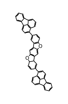 C1=CC2Oc3cc4c(cc3C2C=C1c1ccc2c3c(cccc13)-c1ccccc1-2)oc1ccc(-c2ccc3c5c(cccc25)-c2ccccc2-3)cc14